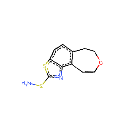 NSc1nc2c3c(ccc2s1)CCOCC3